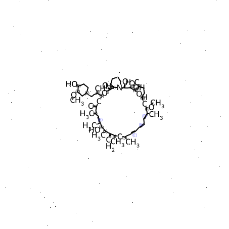 C=C1[C@H](C)C[C@H](C)/C=C/C=C/C=C(\C)[C@@H](OC)C[C@@H]2CC[C@@H](C)[C@@](O)(O2)C(=O)C(=O)N2CCCC[C@H]2C(=O)O[C@H]([C@H](C)C[C@@H]2CC[C@@H](O)[C@H](OC)C2)CC(=O)[C@H](C)/C=C(\C)[C@@H](O)[C@H]1C